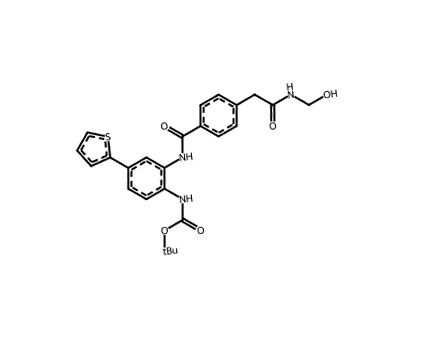 CC(C)(C)OC(=O)Nc1ccc(-c2cccs2)cc1NC(=O)c1ccc(CC(=O)NCO)cc1